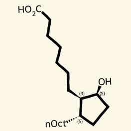 CCCCCCCC[C@H]1CC[C@H](O)[C@@H]1CCCCCCC(=O)O